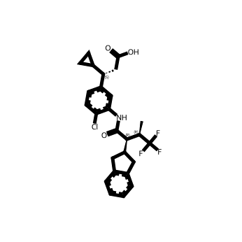 C[C@H]([C@H](C(=O)Nc1cc([C@@H](CC(=O)O)C2CC2)ccc1Cl)C1Cc2ccccc2C1)C(F)(F)F